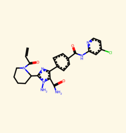 C=CC(=O)N1CCCCC1c1nc(-c2ccc(C(=O)Nc3cc(Cl)ccn3)cc2)c(C(N)=O)n1N